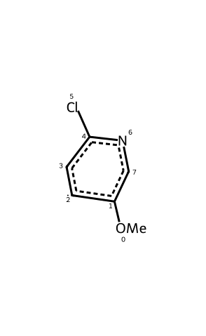 COc1[c]cc(Cl)nc1